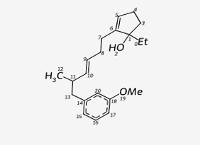 CCC1(O)CCC=C1CC/C=C/C(C)Cc1cccc(OC)c1